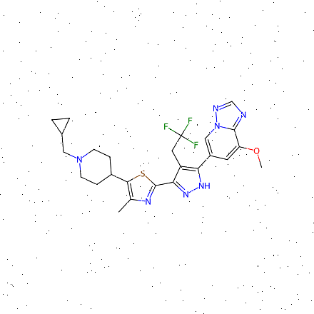 COc1cc(-c2[nH]nc(-c3nc(C)c(C4CCN(CC5CC5)CC4)s3)c2CC(F)(F)F)cn2ncnc12